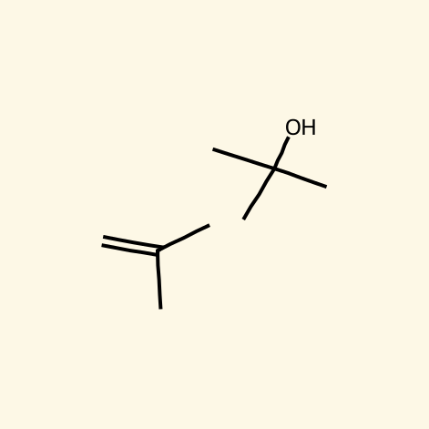 C=C(C)C.CC(C)(C)O